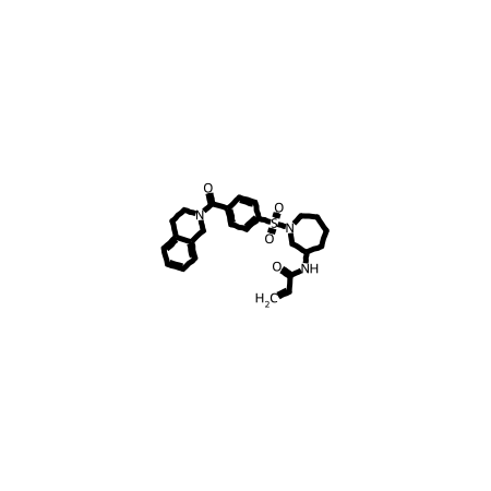 C=CC(=O)NC1CCCCN(S(=O)(=O)c2ccc(C(=O)N3CCc4ccccc4C3)cc2)C1